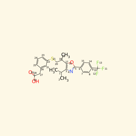 CC(C)c1nc(-c2ccc(C(F)(F)F)cc2)oc1C(C)CSc1cccc(CC(=O)O)c1